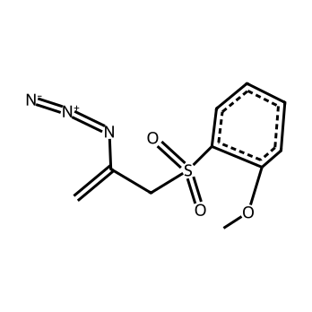 C=C(CS(=O)(=O)c1ccccc1OC)N=[N+]=[N-]